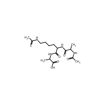 CC(=O)NC(C)C(=O)NC(CCCCNC(C)=S)C(=O)NC(C)C(=O)O